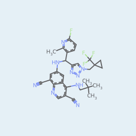 Cc1nc(F)ccc1C(Nc1cc(C#N)c2ncc(C#N)c(NCC(C)(C)C)c2c1)c1cn(CC2(C(F)(F)F)CC2)nn1